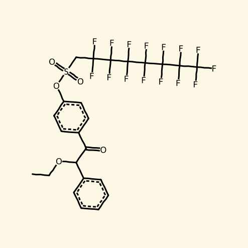 CCOC(C(=O)c1ccc(OS(=O)(=O)CC(F)(F)C(F)(F)C(F)(F)C(F)(F)C(F)(F)C(F)(F)C(F)(F)F)cc1)c1ccccc1